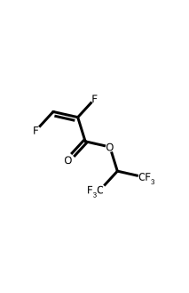 O=C(OC(C(F)(F)F)C(F)(F)F)/C(F)=C\F